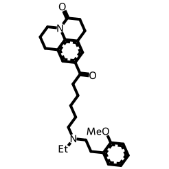 CCN(CCCCCC(=O)c1cc2c3c(c1)CCC(=O)N3CCC2)CCc1ccccc1OC